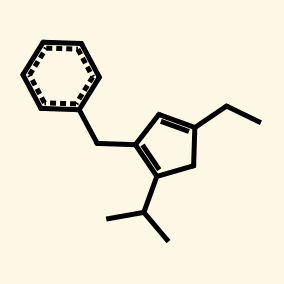 CCC1=CC(Cc2ccccc2)=C(C(C)C)C1